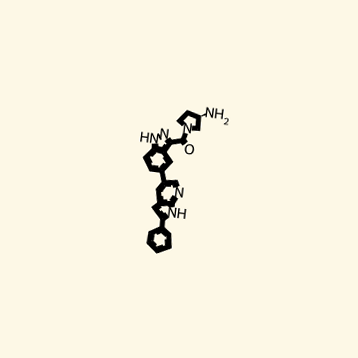 N[C@H]1CCN(C(=O)c2n[nH]c3ccc(-c4cnc5[nH]c(-c6ccccc6)cc5c4)cc23)C1